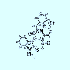 CCc1ccc(N2C(=O)CSc3c(c4ccccc4n3C)C2C(=O)NCc2ccccc2)cc1